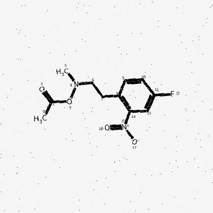 CC(=O)ON(C)CCc1ccc(F)cc1[N+](=O)[O-]